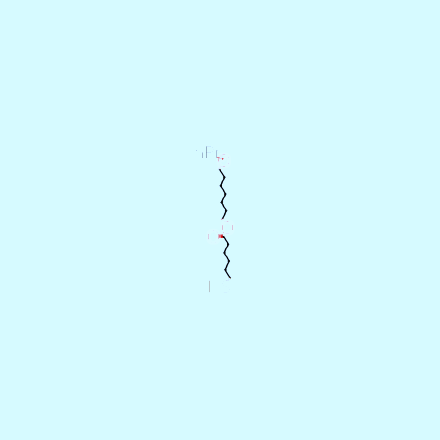 CCCOCCCCCCCOC(=O)CCCCCS